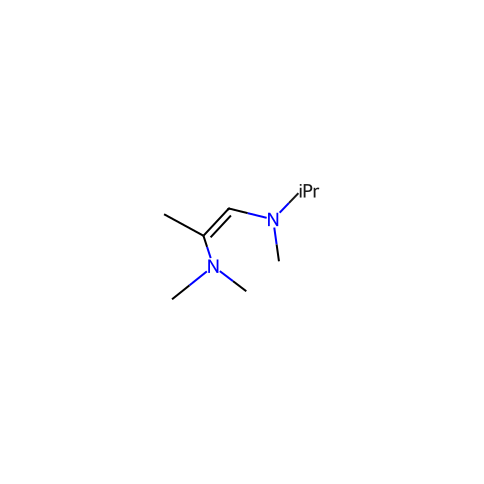 C/C(=C/N(C)C(C)C)N(C)C